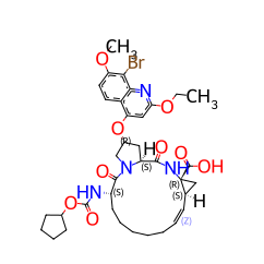 CCOc1cc(O[C@@H]2C[C@H]3C(=O)N[C@]4(C(=O)O)C[C@H]4/C=C\CCCCC[C@H](NC(=O)OC4CCCC4)C(=O)N3C2)c2ccc(OC)c(Br)c2n1